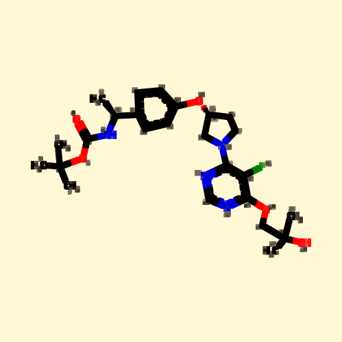 C[C@H](NC(=O)OC(C)(C)C)c1ccc(O[C@@H]2CCN(c3ncnc(OCC(C)(C)O)c3F)C2)cc1